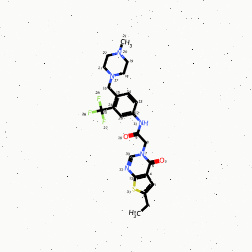 CCc1cc2c(=O)n(CC(=O)Nc3ccc(CN4CCN(C)CC4)c(C(F)(F)F)c3)cnc2s1